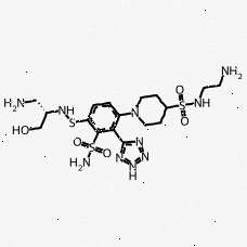 NCCNS(=O)(=O)C1CCN(c2ccc(SN[C@@H](CN)CO)c(S(N)(=O)=O)c2-c2nn[nH]n2)CC1